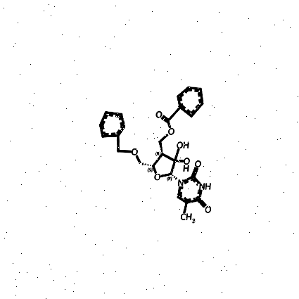 Cc1cn([C@@H]2O[C@H](COCc3ccccc3)[C@@H](COC(=O)c3ccccc3)C2(O)O)c(=O)[nH]c1=O